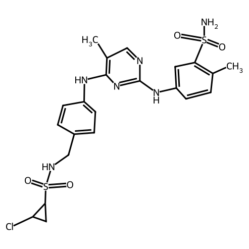 Cc1ccc(Nc2ncc(C)c(Nc3ccc(CNS(=O)(=O)C4CC4Cl)cc3)n2)cc1S(N)(=O)=O